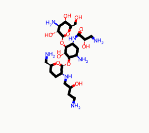 NCCC(O)CN[C@@H]1CC[C@@H](CN)O[C@@H]1OC1[C@@H](N)C[C@@H](NC(=O)[C@@H](O)CN)[C@H](O[C@H]2O[C@H](CO)[C@@H](O)[C@H](N)[C@H]2O)[C@H]1O